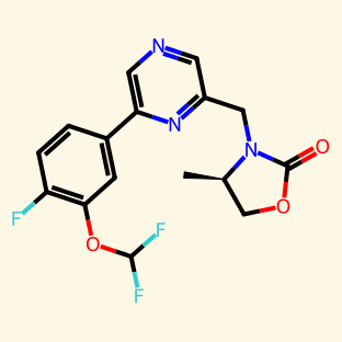 C[C@@H]1COC(=O)N1Cc1cncc(-c2ccc(F)c(OC(F)F)c2)n1